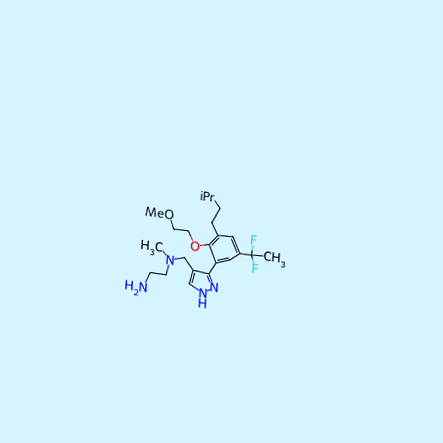 COCCOc1c(CCC(C)C)cc(C(C)(F)F)cc1-c1n[nH]cc1CN(C)CCN